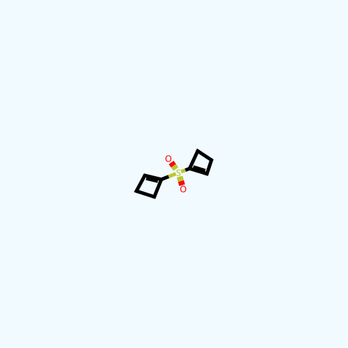 O=S(=O)(C1=CCC1)C1=CCC1